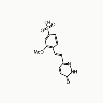 COc1cc(S(C)(=O)=O)ccc1/C=C/c1ccc(=O)[nH]n1